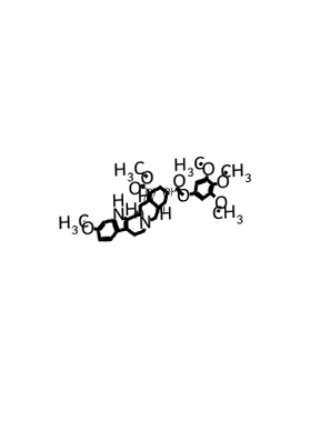 COC(=O)[C@@H]1C[C@H](C(=O)Oc2cc(OC)c(OC)c(OC)c2)C[C@@H]2CN3CCc4c([nH]c5cc(OC)ccc45)[C@H]3C[C@@H]21